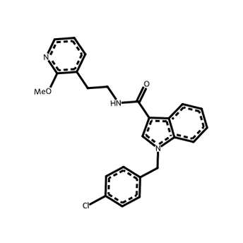 COc1ncccc1CCNC(=O)c1cn(Cc2ccc(Cl)cc2)c2ccccc12